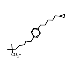 CC(C)(CCCCCc1ccc(CCCCCC2CC2)cc1)C(=O)O